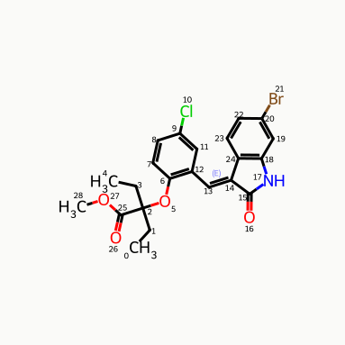 CCC(CC)(Oc1ccc(Cl)cc1/C=C1/C(=O)Nc2cc(Br)ccc21)C(=O)OC